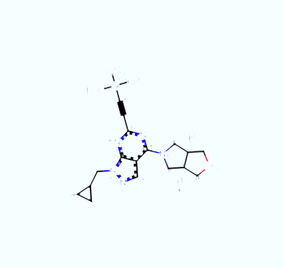 C[Si](C)(C)C#Cc1nc(N2C[C@H]3COC[C@H]3C2)c2cnn(CC3CC3)c2n1